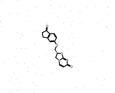 O=C1CCc2cc(OC[C@@H]3Cn4ccc(=O)nc4O3)ccc21